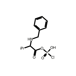 CC(C)C(NCc1ccccc1)C(=O)OP(=O)(O)Cl